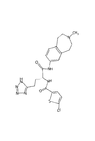 CN1CCc2ccc(NC(=O)[C@@H](CCc3nnn[nH]3)NC(=O)c3ccc(Cl)s3)cc2CC1